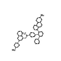 CN(Cc1cc(-c2ccc(C(C)(C)C)cc2)cc2ccccc12)c1ccc(-c2c(-c3ccccc3)cccc2-c2cccc3c2ccc2cc(C(C)(C)C)ccc23)cc1